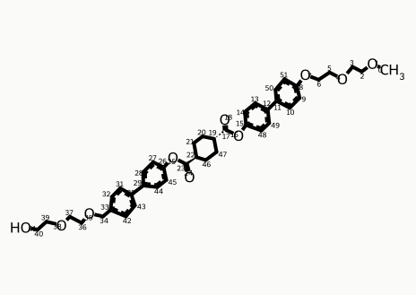 COCCOCCOc1ccc(-c2ccc(OC(=O)[C@H]3CC[C@H](C(=O)Oc4ccc(-c5ccc(COCCOCCO)cc5)cc4)CC3)cc2)cc1